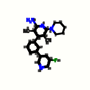 N#Cc1c(N)nc(N2CCCCC2)c(C#N)c1-c1cccc(-c2cncc(F)c2)c1